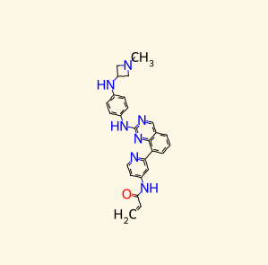 C=CC(=O)Nc1ccnc(-c2cccc3cnc(Nc4ccc(NC5CN(C)C5)cc4)nc23)c1